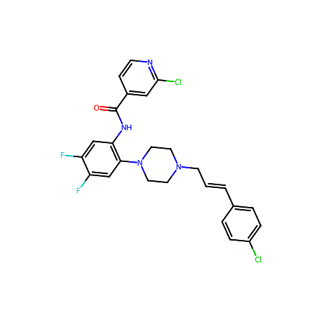 O=C(Nc1cc(F)c(F)cc1N1CCN(CC=Cc2ccc(Cl)cc2)CC1)c1ccnc(Cl)c1